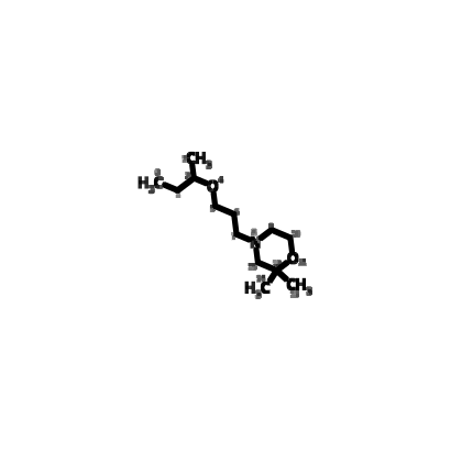 CCC(C)OCCCN1CCOC(C)(C)C1